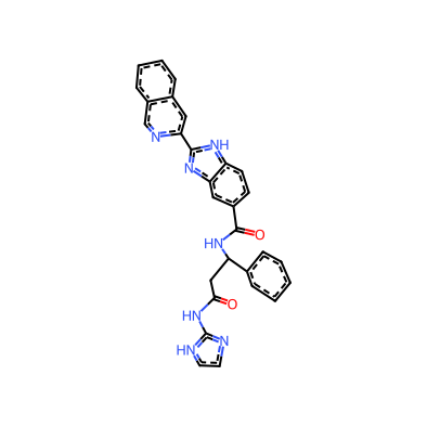 O=C(CC(NC(=O)c1ccc2[nH]c(-c3cc4ccccc4cn3)nc2c1)c1ccccc1)Nc1ncc[nH]1